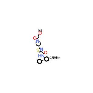 CCOCCC(=O)N1CCC(c2nc(C(=O)Nc3cc(OC)ccc3-c3ccccc3)cs2)CC1